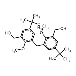 COc1c(CO)cc(C(C)(C)C)cc1Cc1cc(C(C)(C)C)cc(CO)c1OC